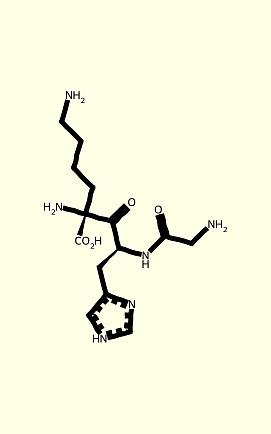 NCCCC[C@](N)(C(=O)O)C(=O)[C@H](Cc1c[nH]cn1)NC(=O)CN